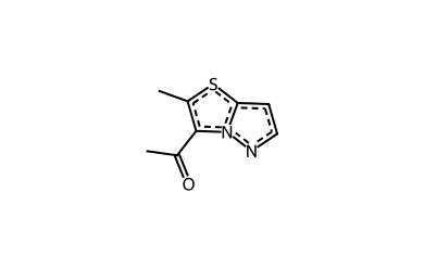 CC(=O)c1c(C)sc2ccnn12